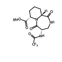 COC(=O)[C@@H]1CCC[C@@H]2C(=O)NC[C@H](NC(=O)C(F)(F)F)C(=O)N21